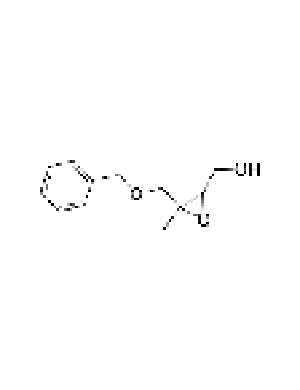 CC1(COCc2ccccc2)OC1CO